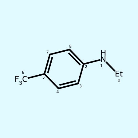 CCNc1ccc(C(F)(F)F)cc1